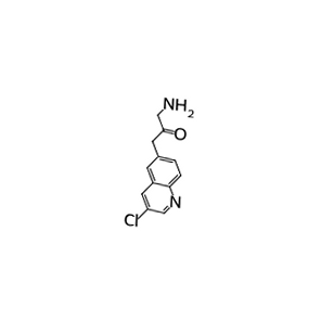 NCC(=O)Cc1ccc2ncc(Cl)cc2c1